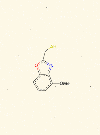 COc1cccc2oc(CS)nc12